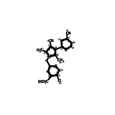 CCOC(=O)c1cc(Cn2c(C)c(C#N)c(-c3cccc(C#N)c3)c2C)cnc1Cl